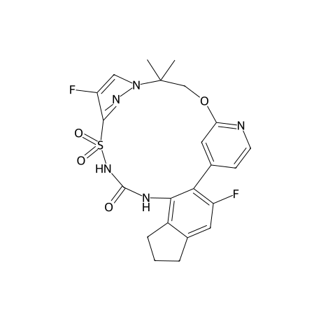 CC1(C)COc2cc(ccn2)-c2c(F)cc3c(c2NC(=O)NS(=O)(=O)c2nn1cc2F)CCC3